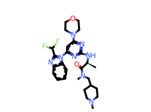 C[C@H](Nc1nc(N2CCOCC2)cc(-n2c(C(F)F)nc3ccccc32)n1)C(=O)N(C)CC1CCN(C)CC1